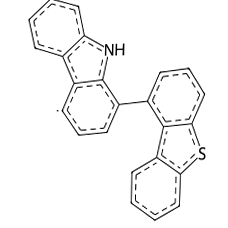 [c]1ccc(-c2cccc3sc4ccccc4c23)c2[nH]c3ccccc3c12